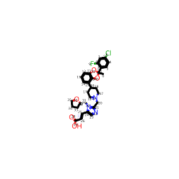 CC1(c2ccc(Cl)cc2F)Oc2cccc(C3CCN(Cc4ncc(/C=C/C(=O)O)n4C[C@@H]4CCCO4)CC3)c2O1